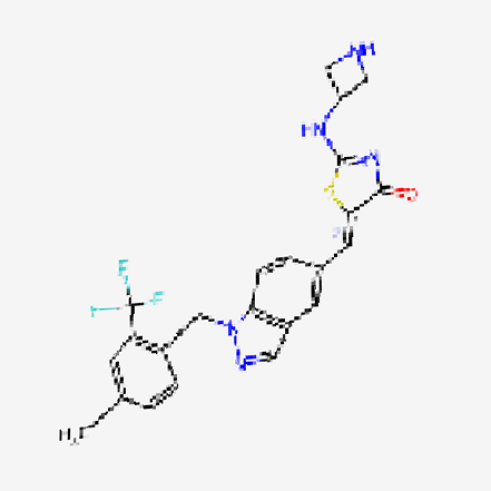 Cc1ccc(Cn2ncc3cc(/C=C4\SC(NC5CNC5)=NC4=O)ccc32)c(C(F)(F)F)c1